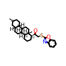 C[C@H]1CC[C@H]2[C@H](CC[C@@H]3[C@@H]2CC[C@]2(C)[C@@H](C(=O)CSc4nc5ccccc5o4)CCC[C@@H]32)C1